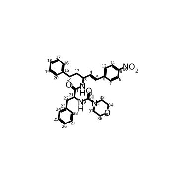 O=C(NC(C=Cc1ccc([N+](=O)[O-])cc1)CCc1ccccc1)C(Cc1ccccc1)NC(=O)N1CCOCC1